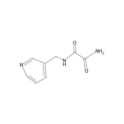 NC(=O)C(=O)NCc1cccnc1